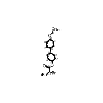 CCCCCCCCCCCOc1ccc(-c2ccc(OC(=O)C(Br)C(C)CC)cc2)cc1